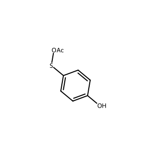 CC(=O)OSc1ccc(O)cc1